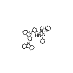 CN1C(c2ccccc2)N=C(c2ccccc2)NC1c1cccc(-n2c3ccccc3c3cc(-n4c5ccccc5c5ccccc54)ccc32)c1